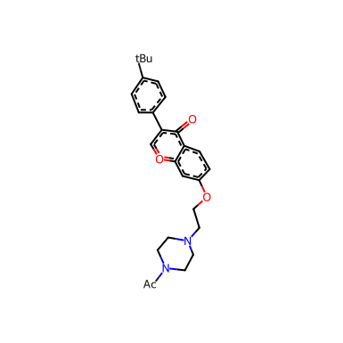 CC(=O)N1CCN(CCOc2ccc3c(=O)c(-c4ccc(C(C)(C)C)cc4)coc3c2)CC1